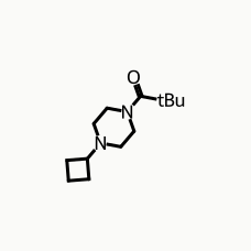 CC(C)(C)C(=O)N1CCN(C2CCC2)CC1